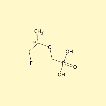 [CH2][C@@H](CF)OCP(=O)(O)O